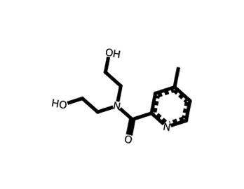 Cc1ccnc(C(=O)N(CCO)CCO)c1